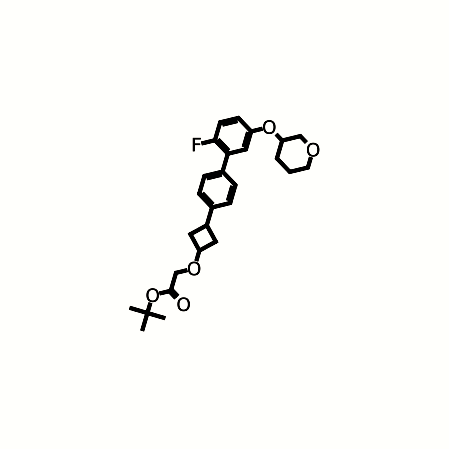 CC(C)(C)OC(=O)COC1CC(c2ccc(-c3cc(OC4CCCOC4)ccc3F)cc2)C1